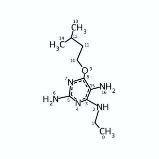 CCNc1nc(N)nc(OCCC(C)C)c1N